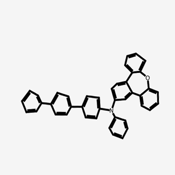 c1ccc(-c2ccc(-c3ccc(N(c4ccccc4)c4ccc5c(c4)-c4ccccc4Oc4ccccc4-5)cc3)cc2)cc1